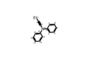 CCC#CN(c1ccccc1)c1ccccc1